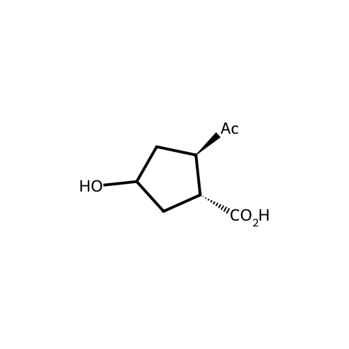 CC(=O)[C@@H]1CC(O)C[C@H]1C(=O)O